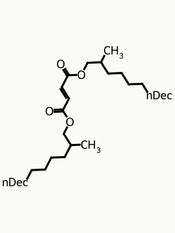 CCCCCCCCCCCCCCC(C)COC(=O)C=CC(=O)OCC(C)CCCCCCCCCCCCCC